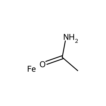 CC(N)=O.[Fe]